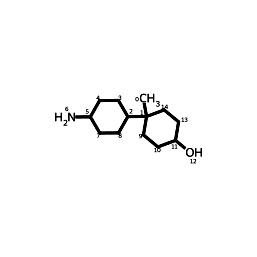 CC1(C2CCC(N)CC2)CCC(O)CC1